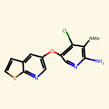 CNc1c(N)ncc(Oc2cnc3sccc3c2)c1Cl